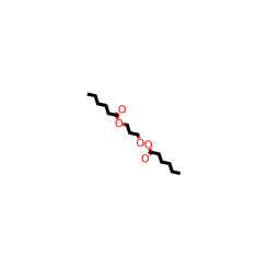 CCCCCC(=O)OCCCOOC(=O)CCCCC